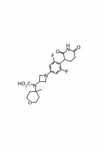 CC1(N(C(=O)O)C2CN(c3cc(F)c(C4CCC(=O)NC4=O)c(F)c3)C2)CCOCC1